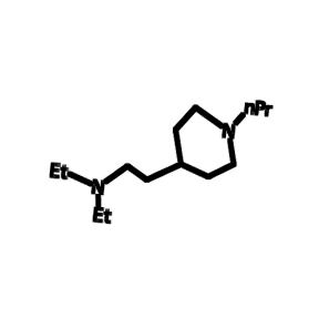 CCCN1CCC(CCN(CC)CC)CC1